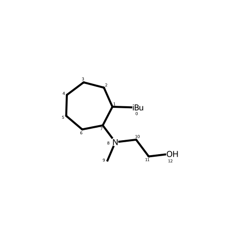 CCC(C)C1CCCCCC1N(C)CCO